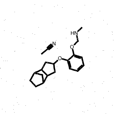 CC#N.CNCOc1ccccc1OC1CC2C3CCC(C3)C2C1